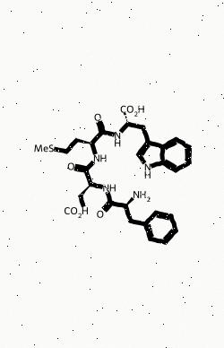 CSCC[C@H](NC(=O)[C@H](CC(=O)O)NC(=O)[C@@H](N)Cc1ccccc1)C(=O)N[C@@H](Cc1c[nH]c2ccccc12)C(=O)O